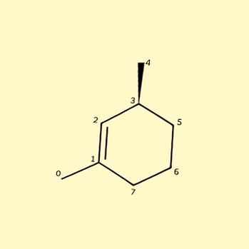 CC1=C[C@@H](C)CCC1